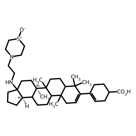 CC1(C)C(C2=CCC(C(=O)O)CC2)=CCC2(C)C1CCC1(C)C2CCC2[C@H]3CCCC3(NCCN3CC[S+]([O-])CC3)CC[C@]21C